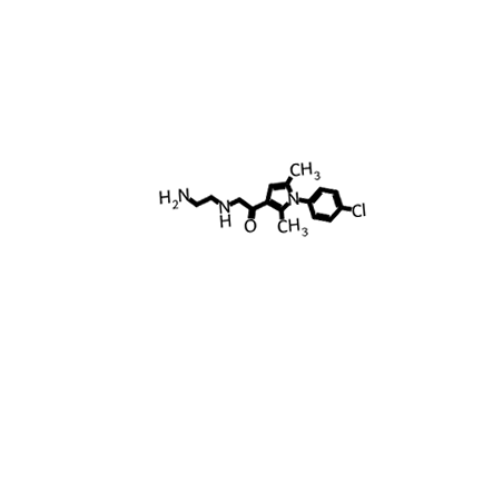 Cc1cc(C(=O)CNCCN)c(C)n1-c1ccc(Cl)cc1